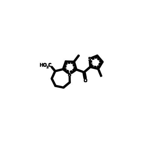 Cc1ccsc1C(=O)c1c(C)cc2n1CCCCC2C(=O)O